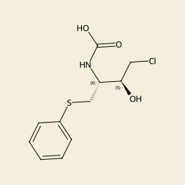 O=C(O)N[C@@H](CSc1ccccc1)[C@H](O)CCl